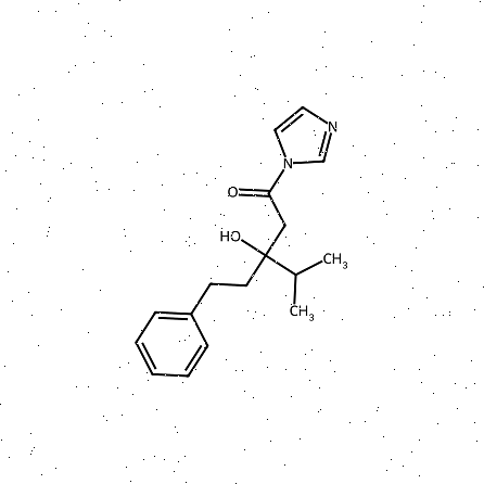 CC(C)C(O)(CCc1ccccc1)CC(=O)n1ccnc1